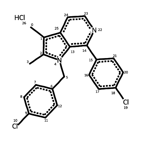 Cc1c(C)n(Cc2ccc(Cl)cc2)c2c(-c3ccc(Cl)cc3)nccc12.Cl